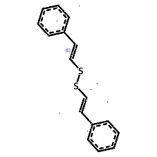 C(=Cc1ccccc1)SS/C=C/c1ccccc1